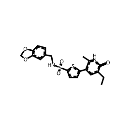 CCc1cc(-c2ccc(S(=O)(=O)NCc3ccc4c(c3)OCO4)s2)c(C)[nH]c1=O